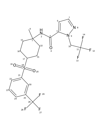 CC1(NC(=O)c2ccnn2CC(F)(F)F)CCC(S(=O)(=O)c2cccc(C(F)(F)F)c2)CC1